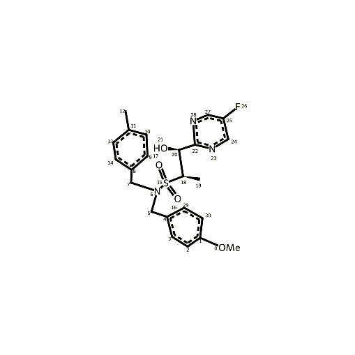 COc1ccc(CN(Cc2ccc(C)cc2)S(=O)(=O)[C@H](C)[C@@H](O)c2ncc(F)cn2)cc1